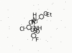 CCOc1ccc(C2CC(C(NS(=O)(=O)c3ccc(C)c(F)c3)c3ccc(Cl)cc3Cl)=NN2)cc1